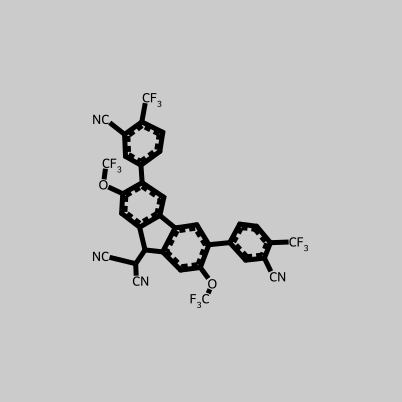 N#Cc1cc(-c2cc3c(cc2OC(F)(F)F)C(C(C#N)C#N)c2cc(OC(F)(F)F)c(-c4ccc(C(F)(F)F)c(C#N)c4)cc2-3)ccc1C(F)(F)F